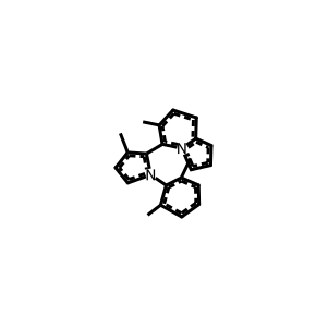 Cc1cccc(C)c1-n1ccc(C)c1-c1c(C)ccc2cccn12